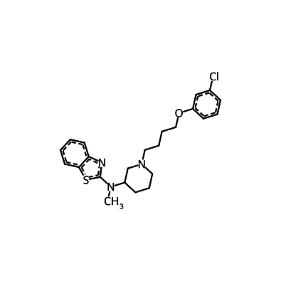 CN(c1nc2ccccc2s1)C1CCCN(CCCCOc2cccc(Cl)c2)C1